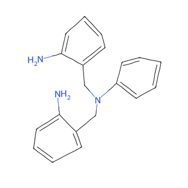 Nc1ccccc1CN(Cc1ccccc1N)c1ccccc1